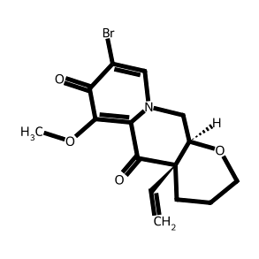 C=C[C@]12CCCO[C@@H]1Cn1cc(Br)c(=O)c(OC)c1C2=O